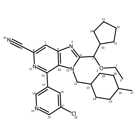 CCOC(c1nc2cc(C#N)nc(-c3cncc(Cl)c3)c2n1CC1CCC(C)CC1)C1CCCC1